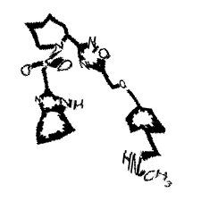 CNCc1ccc(OCc2nc(C3CCCCN3S(=O)(=O)c3nc4ccccc4[nH]3)no2)cc1